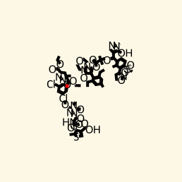 CCOC(=O)C1=NN(c2ccc(Cl)cc2Cl)C(C)(C(=O)OCC)C1.CCc1cc(C)cc(CC)c1-c1c(OC(=O)C(C)(C)C)n2n(c1=O)CCOCC2.COc1nn(C(=O)NS(=O)(=O)c2c(C(=O)O)csc2C)c(=O)n1C.Cc1c(C(=O)c2cnn(C)c2O)ccc(S(C)(=O)=O)c1C1=NOCC1